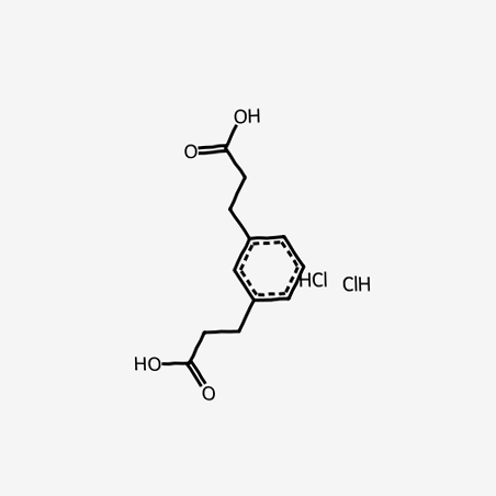 Cl.Cl.O=C(O)CCc1cccc(CCC(=O)O)c1